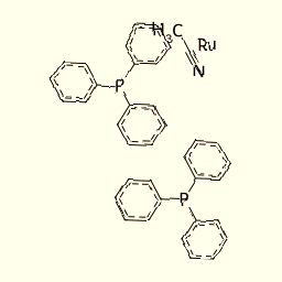 CC#N.[Ru].c1ccc(P(c2ccccc2)c2ccccc2)cc1.c1ccc(P(c2ccccc2)c2ccccc2)cc1